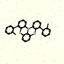 Cc1ccccc1-c1cccc2c1Oc1cccc3c1B2c1cccc(-c2ccccc2C)c1O3